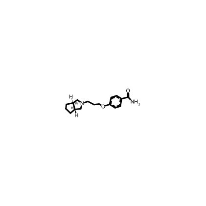 NC(=O)c1ccc(OCCCN2C[C@@H]3CCC[C@H]3C2)cc1